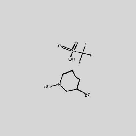 CCCCN1CCCC(CC)C1.O=S(=O)(O)C(F)(F)F